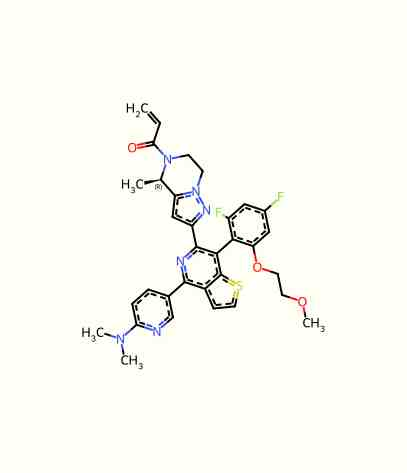 C=CC(=O)N1CCn2nc(-c3nc(-c4ccc(N(C)C)nc4)c4ccsc4c3-c3c(F)cc(F)cc3OCCOC)cc2[C@H]1C